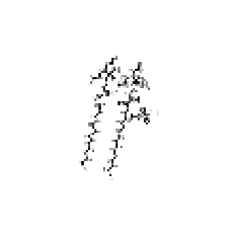 C=CCC(CCCC)C(N)(CC)CCCNC(=O)CCCCCCCCCCCCCCC.C=CCC(CCCC)C(N)(CC)CCCNC(=O)CCCCCCCCCCCCCCC.O=S(=O)(O)O